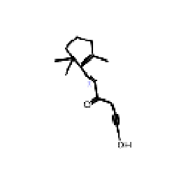 CC1=C(/C=C/C(=O)CC#CO)C(C)(C)CCC1